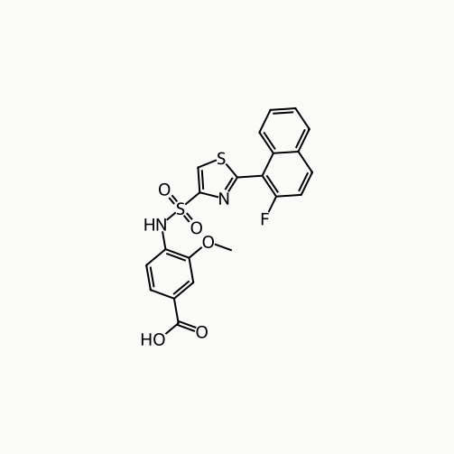 COc1cc(C(=O)O)ccc1NS(=O)(=O)c1csc(-c2c(F)ccc3ccccc23)n1